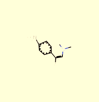 CC(=O)/C(=C/N(C)C)c1ccc([N+](=O)[O-])cc1